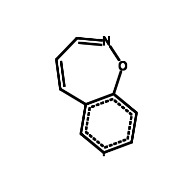 [c]1ccc2c(c1)C=CC=NO2